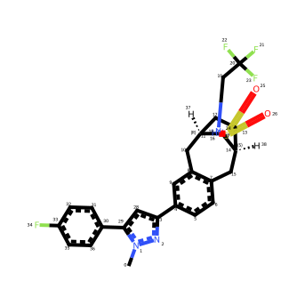 Cn1nc(-c2ccc3c(c2)C[C@H]2CC[C@@H](C3)[C@]23CN(CC(F)(F)F)S(=O)(=O)N3)cc1-c1ccc(F)cc1